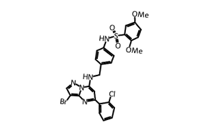 COc1ccc(OC)c(S(=O)(=O)Nc2ccc(CNc3cc(-c4ccccc4Cl)nc4c(Br)cnn34)cc2)c1